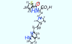 O=C(NC(CCN1CC[C@@H](CCc2ccc3c(n2)NCCC3)C1)C(=O)O)c1cccs1